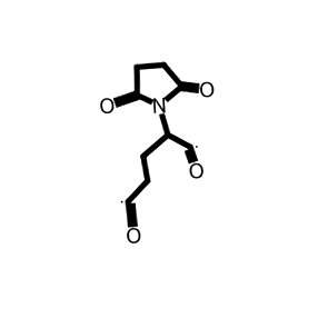 O=[C]CCC([C]=O)N1C(=O)CCC1=O